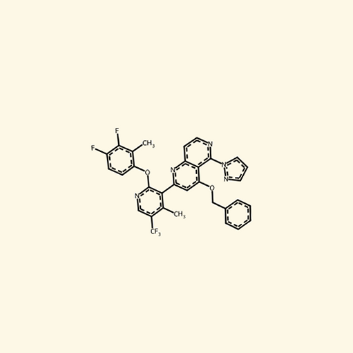 Cc1c(Oc2ncc(C(F)(F)F)c(C)c2-c2cc(OCc3ccccc3)c3c(-n4cccn4)nccc3n2)ccc(F)c1F